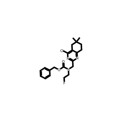 CC1(C)CCc2nc(CN(CCF)C(=O)OCc3ccccc3)nc(Cl)c2C1